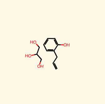 C=CCc1ccccc1O.OCC(O)CO